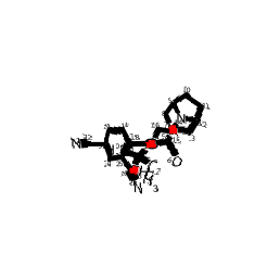 CC(C)(C)OC(=O)N1CC2CCC(C1)N2CCOc1ccc(C#N)cc1C#N